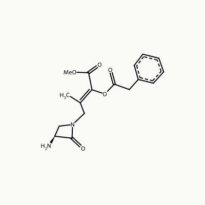 COC(=O)C(OC(=O)Cc1ccccc1)=C(C)CN1C[C@H](N)C1=O